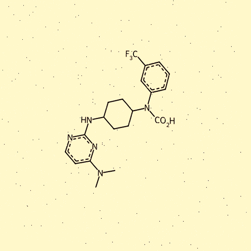 CN(C)c1ccnc(NC2CCC(N(C(=O)O)c3cccc(C(F)(F)F)c3)CC2)n1